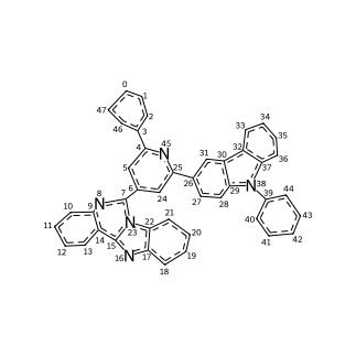 c1ccc(-c2cc(-c3nc4ccccc4c4nc5ccccc5n34)cc(-c3ccc4c(c3)c3ccccc3n4-c3ccccc3)n2)cc1